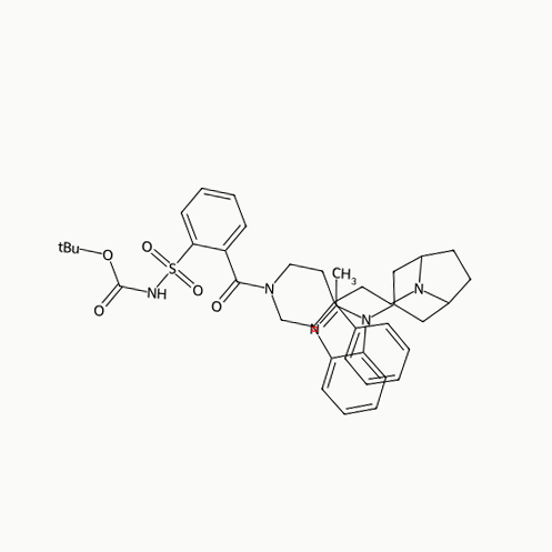 Cc1nc2ccccc2n1C1CC2CCC(C1)N2CCC1(c2ccccc2)CCN(C(=O)c2ccccc2S(=O)(=O)NC(=O)OC(C)(C)C)CC1